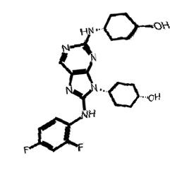 O[C@H]1CC[C@H](Nc2ncc3nc(Nc4ccc(F)cc4F)n([C@H]4CC[C@@H](O)CC4)c3n2)CC1